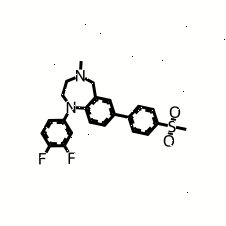 CN1CCN(c2ccc(F)c(F)c2)c2ccc(-c3ccc(S(C)(=O)=O)cc3)cc2C1